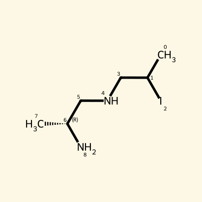 CC(I)CNC[C@@H](C)N